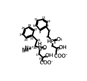 O=C([O-])C(O)C[PH](=O)CCc1ccccc1.O=C([O-])C(O)C[PH](=O)CCc1ccccc1.[Na+].[Na+]